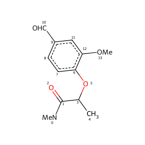 CNC(=O)C(C)Oc1ccc(C=O)cc1OC